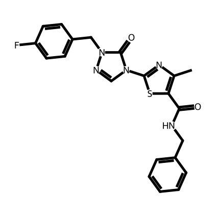 Cc1nc(-n2cnn(Cc3ccc(F)cc3)c2=O)sc1C(=O)NCc1ccccc1